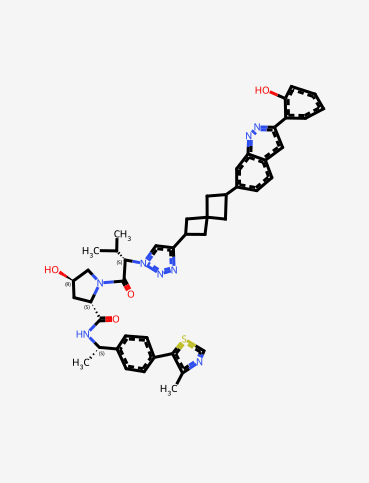 Cc1ncsc1-c1ccc([C@H](C)NC(=O)[C@@H]2C[C@@H](O)CN2C(=O)[C@H](C(C)C)n2cc(C3CC4(CC(c5ccc6cc(-c7ccccc7O)nnc6c5)C4)C3)nn2)cc1